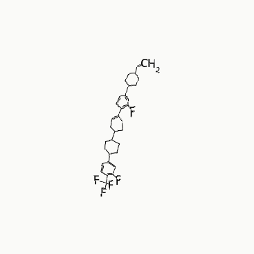 C=CC1CCC(c2ccc(C3=CCC(C4CCC(c5ccc(C(F)(F)F)c(F)c5)CC4)CC3)c(F)c2)CC1